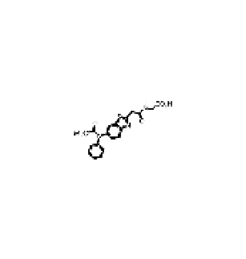 COC(=O)N(c1ccccc1)c1ccc2nc(CC(=O)NCC(=O)O)sc2c1